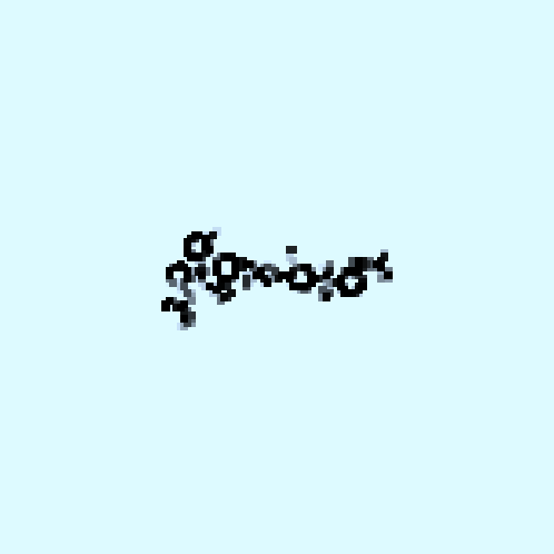 COC(=O)N[C@H]1CCC[C@@H]1C(CN1CCC1)(c1cccc(F)c1)C1CCN(CC2(F)CN(c3ccc(S(=O)(=O)c4cccc(NC(C)=O)c4)cc3F)C2)CC1